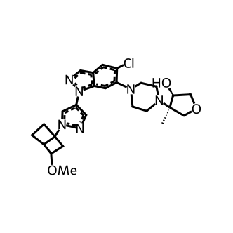 COC1CC2(n3cc(-n4ncc5cc(Cl)c(N6CCN([C@]7(C)COC[C@@H]7O)CC6)cc54)cn3)CCC12